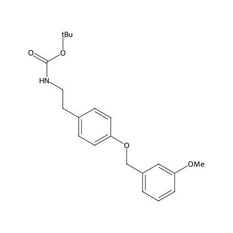 COc1cccc(COc2ccc(CCNC(=O)OC(C)(C)C)cc2)c1